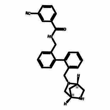 N#Cc1cccc(C(=O)NCc2ccccc2-c2ccccc2CN2C[C@@H]3C[C@H]2CN3)c1